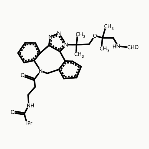 CC(C)C(=O)NCCC(=O)N1Cc2ccccc2-c2c(nnn2C(C)(C)COC(C)(C)CNC=O)-c2ccccc21